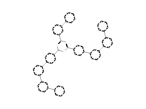 c1ccc(-c2cccc(C3=NC(c4ccc(-c5cccc(-c6cccc(-c7ccccc7)c6)c5)cc4)NC(c4ccc(-c5cccc(-c6cccc(-c7ccccc7)c6)c5)cc4)=N3)c2)cc1